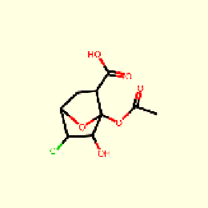 CC(=O)OC12OC(CC1C(=O)O)C(Cl)C2O